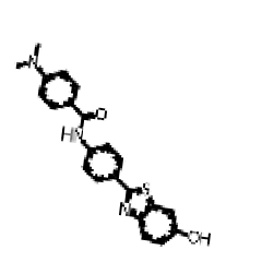 CN(C)c1ccc(C(=O)Nc2ccc(-c3nc4ccc(O)cc4s3)cc2)cc1